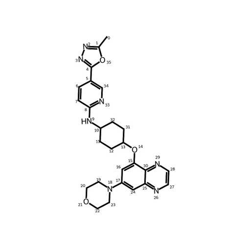 Cc1nnc(-c2ccc(NC3CCC(Oc4cc(N5CCOCC5)cc5nccnc45)CC3)nc2)o1